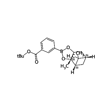 CC(C)(C)OC(=O)c1cccc(B2OC3C[C@@H]4C[C@@H](C4(C)C)[C@]3(C)O2)c1